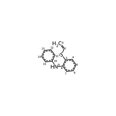 C=CSc1ccccc1Nc1ccccc1